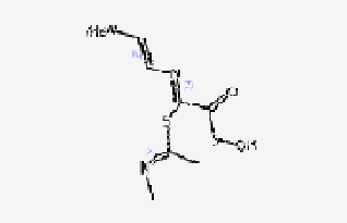 C/N=C(\C)S/C(=N\C=C\NC)C(=O)SO